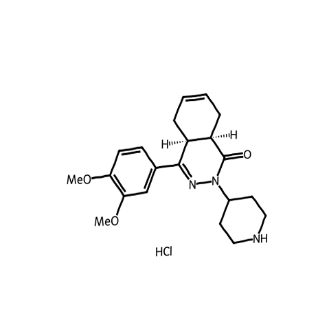 COc1ccc(C2=NN(C3CCNCC3)C(=O)[C@@H]3CC=CC[C@H]23)cc1OC.Cl